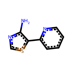 Nc1ncsc1-c1ccccn1